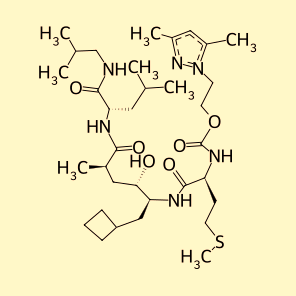 CSCC[C@H](NC(=O)OCCn1nc(C)cc1C)C(=O)N[C@@H](CC1CCC1)[C@@H](O)C[C@@H](C)C(=O)N[C@@H](CC(C)C)C(=O)NCC(C)C